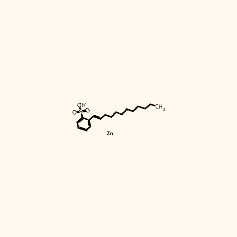 CCCCCCCCCCC=Cc1ccccc1S(=O)(=O)O.[Zn]